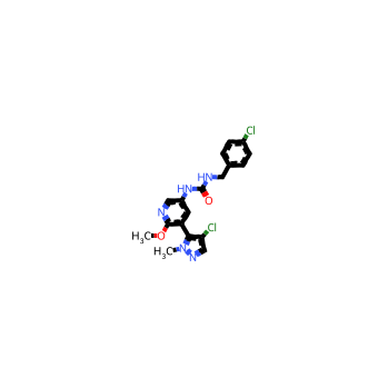 COc1ncc(NC(=O)NCc2ccc(Cl)cc2)cc1-c1c(Cl)cnn1C